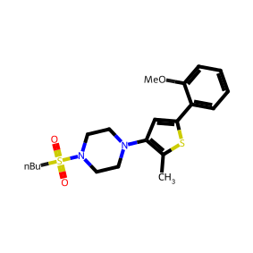 CCCCS(=O)(=O)N1CCN(c2cc(-c3ccccc3OC)sc2C)CC1